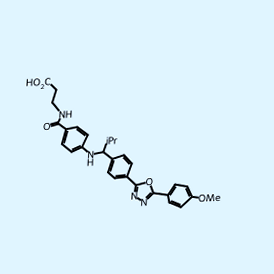 COc1ccc(-c2nnc(-c3ccc(C(Nc4ccc(C(=O)NCCC(=O)O)cc4)C(C)C)cc3)o2)cc1